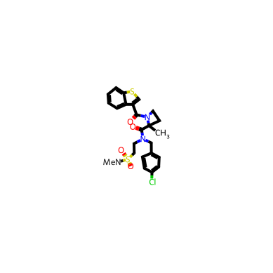 CNS(=O)(=O)CCN(Cc1ccc(Cl)cc1)C(=O)C1(C)CCN1C(=O)c1csc2ccccc12